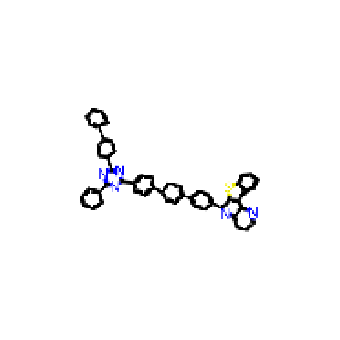 c1ccc(-c2ccc(-c3nc(-c4ccccc4)nc(-c4ccc(-c5ccc(-c6ccc(-c7nc8cccnc8c8c7sc7ccccc78)cc6)cc5)cc4)n3)cc2)cc1